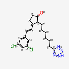 O=C1CCC(C=Cc2cc(Cl)cc(Cl)c2)C1CCCCCCc1nn[nH]n1